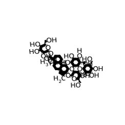 C=C1C[C@@]23CC[C@H]4[C@@](C)(CCC[C@@]4(C)C(=O)O[C@@H]4O[C@H](CO)[C@@H](O)[C@H](O)[C@H]4O)[C@@H]2CC[C@]1(O[C@@H]1O[C@H](CO)[C@@H](O)[C@H](O[C@@H]2C[C@H](CO)[C@@H](O)[C@H](O)[C@H]2O)[C@H]1O[C@@H]1C[C@H](CO)[C@@H](O)[C@H](O)[C@H]1O)C3